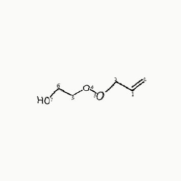 C=CCOOCCO